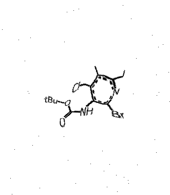 Cc1nc(Br)c(NC(=O)OC(C)(C)C)c(Cl)c1C